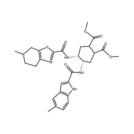 COC(=O)C1C[C@H](NC(=O)c2cc3cc(C)ccc3[nH]2)[C@H](NC(=O)c2nc3c(s2)CN(C)CC3)CC1C(=O)OC